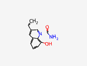 C=Cc1cnc2c(O)cccc2c1.NC=O